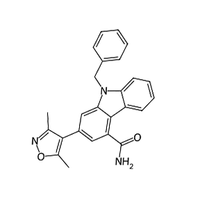 Cc1noc(C)c1-c1cc(C(N)=O)c2c3ccccc3n(Cc3ccccc3)c2c1